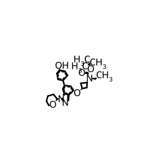 CCN(C(=O)OC(C)(C)C)[C@H]1C[C@@H](Oc2cc(-c3ccc(O)cc3)cc3c2cnn3C2CCCCO2)C1